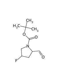 CC(C)(C)OC(=O)N1CC(F)CC1C=O